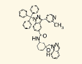 Cc1cc(-c2nn(C(c3ccccc3)(c3ccccc3)c3ccccc3)c3ccc(C(=O)NC4CCCC(O)(Cn5ncc6ccccc65)C4)cc23)ccn1